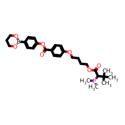 CP(C)C(C(=O)OCCCCOc1ccc(C(=O)Oc2ccc(B3OCCCO3)cc2)cc1)C(C)(C)C